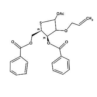 C=CCOC1C(OC(C)=O)S[C@H](COC(=O)c2ccccc2)[C@@H]1OC(=O)c1ccccc1